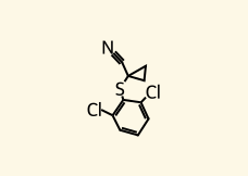 N#CC1(Sc2c(Cl)cccc2Cl)CC1